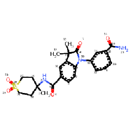 CC1(NC(=O)c2ccc3c(c2)C(C)(C)C(=O)N3c2cccc(C(N)=O)c2)CCS(=O)(=O)CC1